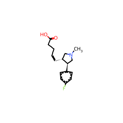 CN1C[C@@H](/C=C\CCC(=O)O)[C@H](c2ccc(F)cc2)C1